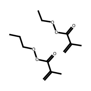 C=C(C)C(=O)OOCC.C=C(C)C(=O)OOCCC